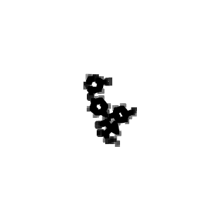 NC(=O)C1(C(=O)N(c2ccc(F)cc2)c2ccc(Oc3cc(Cl)ncn3)cc2)CC1